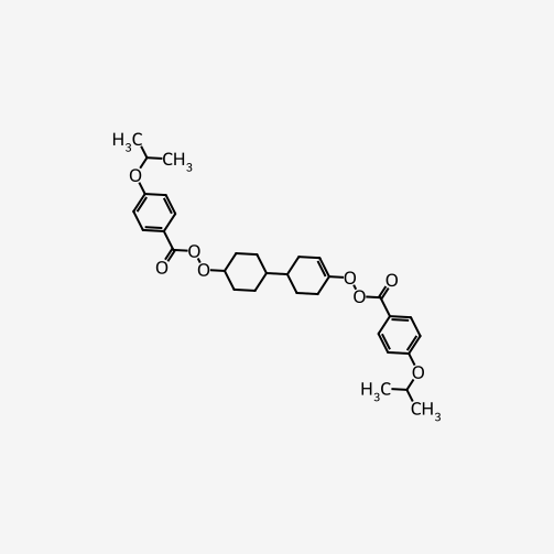 CC(C)Oc1ccc(C(=O)OOC2=CCC(C3CCC(OOC(=O)c4ccc(OC(C)C)cc4)CC3)CC2)cc1